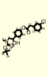 CN(CC(O)c1ccc(OC(=O)Cc2cccc(Cl)c2)cc1)C(=O)OC(C)(C)C